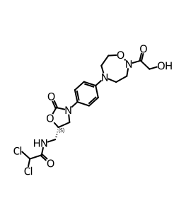 O=C(NC[C@H]1CN(c2ccc(N3CCON(C(=O)CO)CC3)cc2)C(=O)O1)C(Cl)Cl